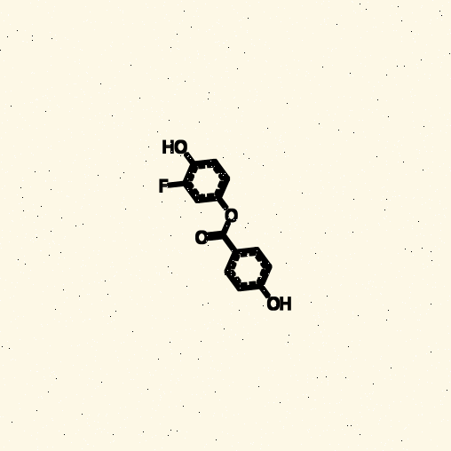 O=C(Oc1ccc(O)c(F)c1)c1ccc(O)cc1